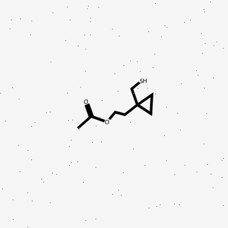 CC(=O)OCCC1(CS)CC1